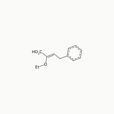 CCOC(=CCc1ccccc1)C(=O)O